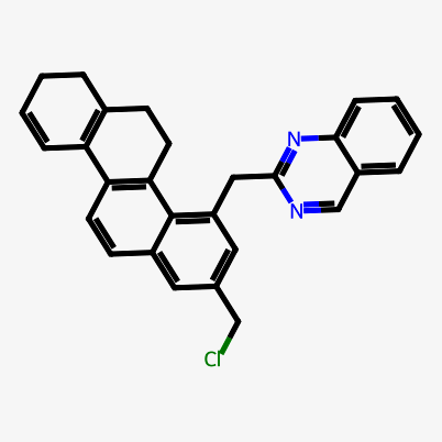 ClCc1cc(Cc2ncc3ccccc3n2)c2c3c(ccc2c1)C1=C(CCC=C1)CC3